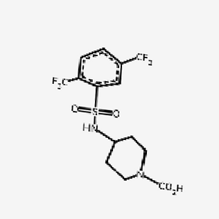 O=C(O)N1CCC(NS(=O)(=O)c2cc(C(F)(F)F)ccc2C(F)(F)F)CC1